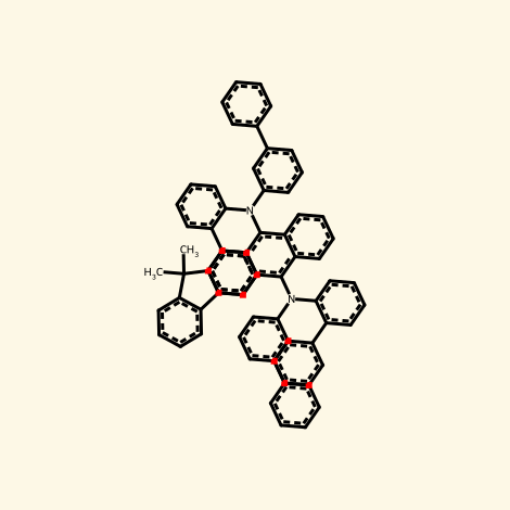 CC1(C)c2ccccc2-c2cc3c(N(c4cccc(-c5ccccc5)c4)c4ccccc4-c4ccccc4)c4ccccc4c(N(c4cccc(-c5ccccc5)c4)c4ccccc4-c4ccccc4)c3cc21